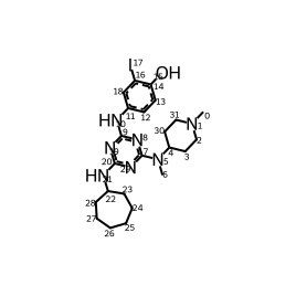 CN1CCC(N(C)c2nc(Nc3ccc(O)c(I)c3)nc(NC3CCCCCC3)n2)CC1